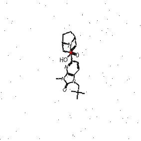 Cn1c(=O)n(CC(C)(C)C)c2ccc(C3=CC4CCC(C3)N4C(=O)O)nc21